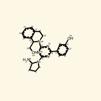 NC1CCCN1c1nc(-c2cccc(O)c2)nc(N2CCc3ccccc3C2CO)n1